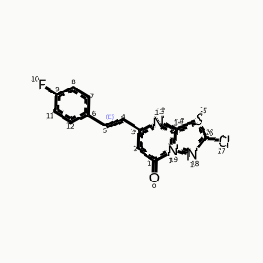 O=c1cc(/C=C/c2ccc(F)cc2)nc2sc(Cl)nn12